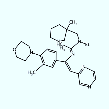 CCN(CC1(C)CCCNC1)/C(C)=N/C(=C\c1cnccn1)c1ccc(N2CCOCC2)c(C)c1